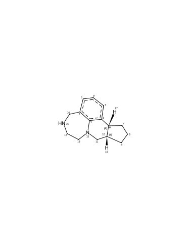 c1cc2c3c(c1)[C@@H]1CCC[C@@H]1CN3CCNC2